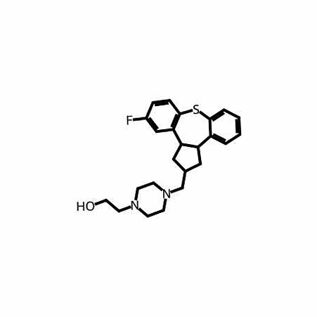 OCCN1CCN(CC2CC3c4ccccc4Sc4ccc(F)cc4C3C2)CC1